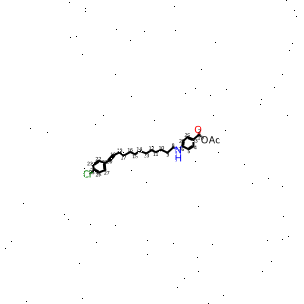 CC(=O)OC(=O)c1ccc(NCCCCCCCCCCCC#Cc2ccc(Cl)cc2)cc1